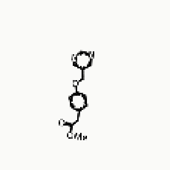 COC(=O)Cc1ccc(OCc2cncnc2)cc1